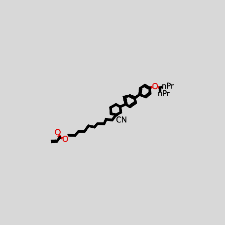 C=CC(=O)OCCCCCCCCCCC1(C#N)CCCC(c2ccc(-c3ccc(OC(CCC)CCC)cc3)cc2)C1